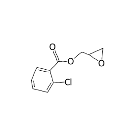 O=C(OCC1CO1)c1ccccc1Cl